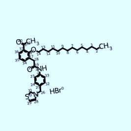 Br.CCCCCCCCCCCCCCOc1c(CC(=O)Nc2ccc(CN3C=CSC3)cc2)cccc1C(C)=O